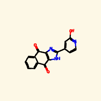 O=C1c2ccccc2C(=O)c2[nH]c(-c3ccnc(O)c3)nc21